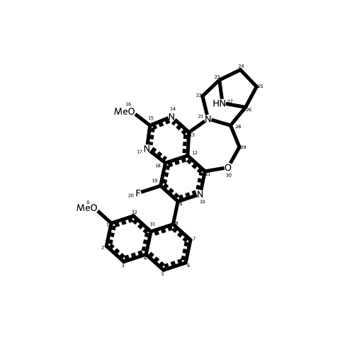 COc1ccc2cccc(-c3nc4c5c(nc(OC)nc5c3F)N3CC5CCC(N5)C3CO4)c2c1